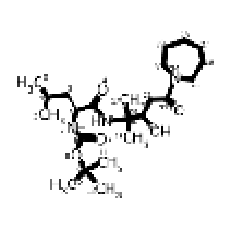 CC(C)C[C@H](NC(=O)OC(C)(C)C)C(=O)NC(C)(C)C(O)CC(=O)N1CCCCCC1